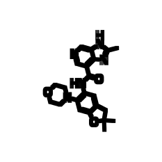 Cc1nc2c(C(=O)Nc3cc4c(cc3N3CCOCC3)OC(C)(C)C4)cncc2[nH]1